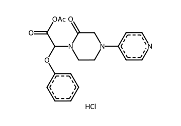 CC(=O)OC(=O)C(Oc1ccccc1)N1CCN(c2ccncc2)CC1=O.Cl